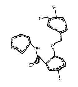 O=C(Nc1cccnc1)c1cc(Br)ccc1OCc1ccc(F)c(F)c1